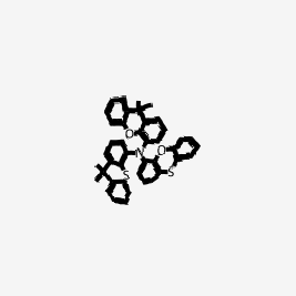 CC1(C)c2ccccc2Oc2c(N(c3cccc4c3Oc3ccccc3S4)c3cccc4c3Sc3ccccc3C4(C)C)cccc21